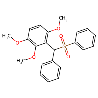 COc1ccc(OC)c(C(c2ccccc2)S(=O)(=O)c2ccccc2)c1OC